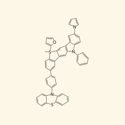 CS1(c2ccco2)c2ccc(-c3ccc(N4c5ccccc5Sc5ccccc54)cc3)cc2-c2cc3c(cc21)c1cc(-n2cccc2)ccc1n3-c1ccccc1